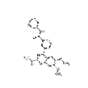 CNc1nc(-c2cccc(C(=O)Nc3cccnc3)c2)c2cc(OC)c(OC)cc2n1